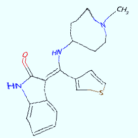 CN1CCC(N/C(=C2\C(=O)Nc3ccccc32)c2ccsc2)CC1